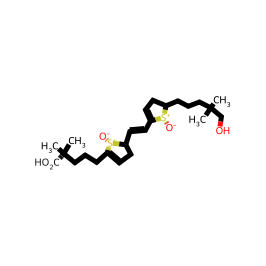 CC(C)(CO)CCCC1CC=C(C=CC2CC=C(CCCC(C)(C)C(=O)O)[S+]2[O-])[S+]1[O-]